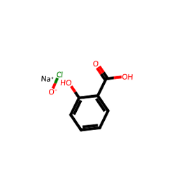 O=C(O)c1ccccc1O.[Na+].[O-]Cl